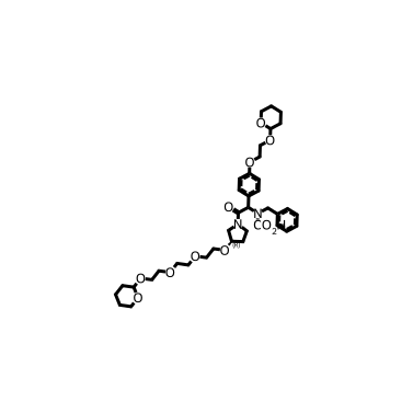 O=C(C(c1ccc(OCCOC2CCCCO2)cc1)N(Cc1ccccc1)C(=O)O)N1CC[C@@H](OCCOCCOCCOC2CCCCO2)C1